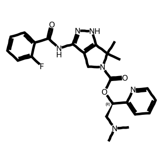 CN(C)C[C@@H](OC(=O)N1Cc2c(NC(=O)c3ccccc3F)n[nH]c2C1(C)C)c1ccccn1